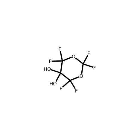 OC1(O)C(F)(F)OC(F)(F)OC1(F)F